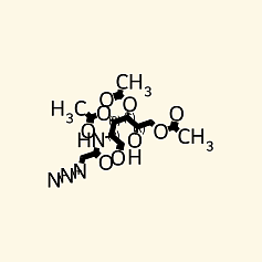 CC(=O)OC[C@@H](O)[C@H](OC(C)=O)[C@H](OC(C)=O)[C@H](C=O)NC(=O)CN=[N+]=[N-]